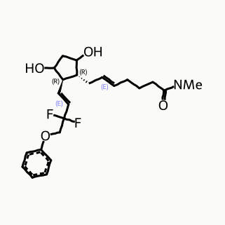 CNC(=O)CCC/C=C/C[C@H]1C(O)CC(O)[C@@H]1/C=C/C(F)(F)COc1ccccc1